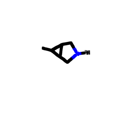 [2H]N1CC2C(C)C2C1